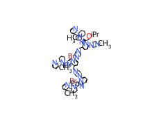 CCN1[C@@H](c2nc3cccc(N4CCN(Cc5ccc(N6CCN(Cc7ccc(N8CCN(C)CC8)n8c(COC(C)C)c([C@H]9CCC[C@@H](c%10ncccc%10C)N9C)nc78)CC6)n6c(Br)c([C@H]7CCC[C@@H](c8ncccc8C)N7C(C)C)nc56)CC4)n3c2Br)CCC[C@H]1c1ncccc1C